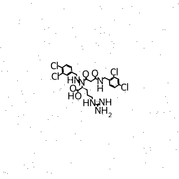 N=C(N)NCCC[C@@H](C(=O)O)N(NCc1ccc(Cl)c(Cl)c1)C(=O)CC(=O)NCc1ccc(Cl)cc1Cl